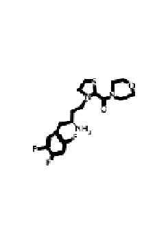 N[C@@H](CCN1CCSC1C(=O)N1CCOCC1)Cc1cc(F)c(F)cc1F